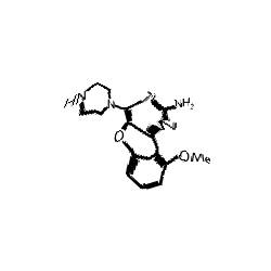 COc1cccc2oc3c(N4CCNCC4)nc(N)nc3c12